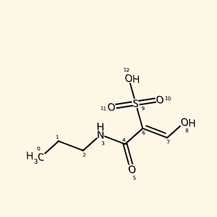 CCCNC(=O)C(=CO)S(=O)(=O)O